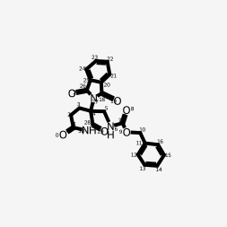 O=C1CCC(CNC(=O)OCc2ccccc2)(N2C(=O)c3ccccc3C2=O)C(=O)N1